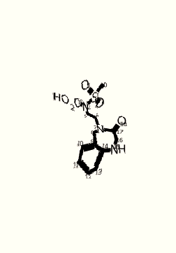 CS(=O)(=O)N(CCN1Cc2ccccc2NCC1=O)C(=O)O